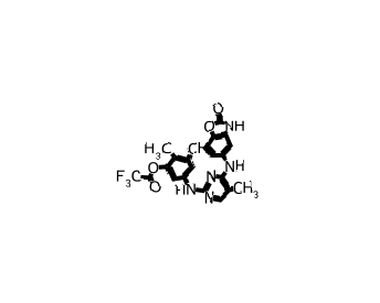 Cc1cnc(Nc2cc(C)c(C)c(OC(=O)C(F)(F)F)c2)nc1Nc1ccc2oc(=O)[nH]c2c1